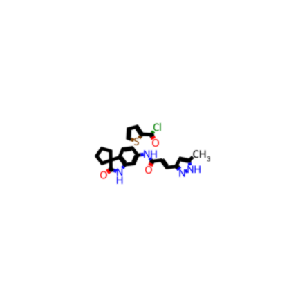 Cc1cc(C=CC(=O)Nc2ccc3c(c2)NC(=O)C32CCCC2)n[nH]1.O=C(Cl)c1cccs1